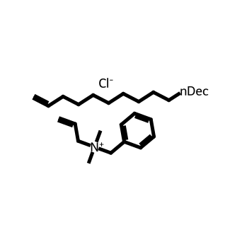 C=CCCCCCCCCCCCCCCCCCC.C=CC[N+](C)(C)Cc1ccccc1.[Cl-]